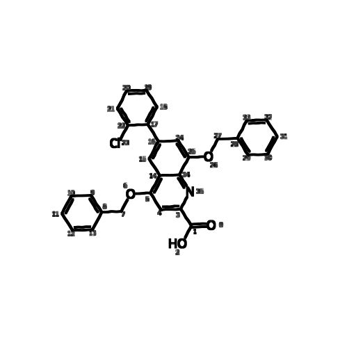 O=C(O)c1cc(OCc2ccccc2)c2cc(-c3ccccc3Cl)cc(OCc3ccccc3)c2n1